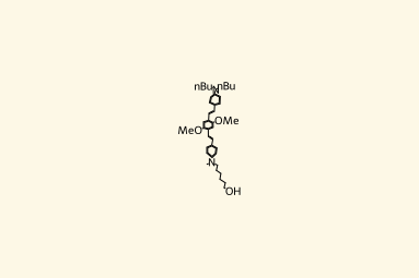 CCCCN(CCCC)c1ccc(C=Cc2cc(OC)c(C=Cc3ccc(N(C)CCCCCCO)cc3)cc2OC)cc1